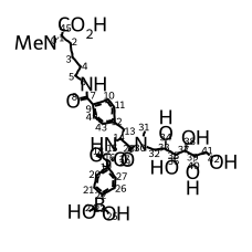 CN[C@@H](CCCCNC(=O)c1ccc(C[C@H](NS(=O)(=O)c2ccc(B(O)O)cc2)C(=O)N(C)C[C@@H](O)[C@H](O)[C@@H](O)[C@@H](O)CO)cc1)C(=O)O